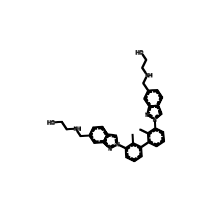 Cc1c(-c2cccc(-n3cc4ccc(CNCCO)cc4n3)c2C)cccc1-n1cc2ccc(CNCCO)cc2n1